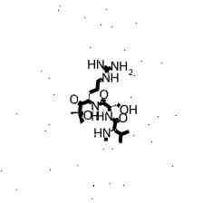 CN[C@H](C(=O)N[C@@H](CO)C(=O)N[C@@H](CCCNC(=N)N)C(=O)[C@@]1(C)CO1)C(C)C